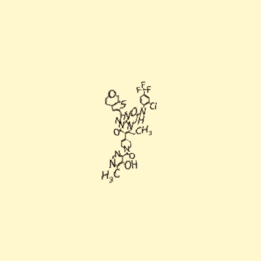 CCc1c(C2=CCN(C(=O)c3ncnc(C)c3O)CC2)c(=O)n2nc(-c3cc4c(s3)COCC4)nc2n1CC(=O)Nc1ccc(C(F)(F)F)cc1Cl